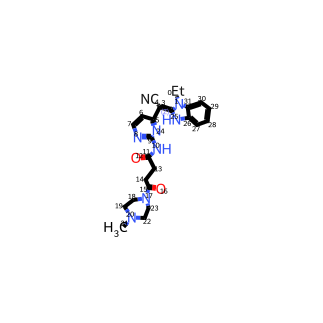 CCN1/C(=C(\C#N)c2ccnc(NC(=O)CCC(=O)N3CCN(C)CC3)n2)Nc2ccccc21